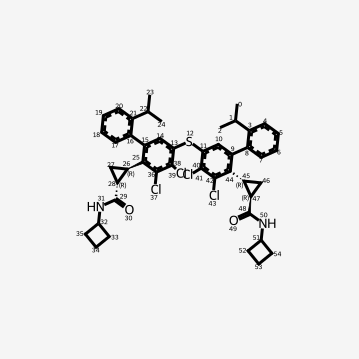 CC(C)c1ccccc1-c1cc(Sc2cc(-c3ccccc3C(C)C)c([C@@H]3C[C@H]3C(=O)NC3CCC3)c(Cl)c2Cl)c(Cl)c(Cl)c1[C@@H]1C[C@H]1C(=O)NC1CCC1